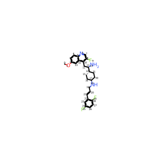 COc1ccc2ncc(F)c(C[C@@H](N)[C@H]3CC[C@H](NCC=Cc4cc(F)ccc4F)CC3)c2c1